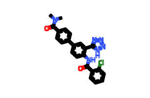 CN(C)C(=O)c1ccc(-c2ccc(NC(=O)c3ccccc3Cl)c(-c3nnn[nH]3)c2)cc1